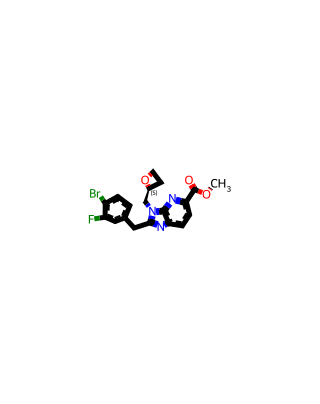 COC(=O)c1ccc2nc(Cc3ccc(Br)c(F)c3)n(C[C@@H]3CCO3)c2n1